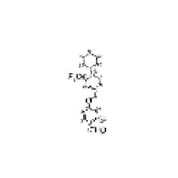 O=Cc1ccc(OCc2ccc(C3CCCCC3)c(C(F)(F)F)c2)cc1F